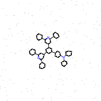 c1ccc(-c2cc(-c3cc(-c4ccc(N(c5ccccc5)c5ccccc5)cc4)cc(-c4cc(-c5ccccc5)nc(-c5ccccc5)c4)c3)cc(-c3ccccc3)n2)cc1